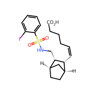 O=C(O)CCC/C=C\[C@@H]1[C@H]2CC[C@H](C2)[C@@H]1CNS(=O)(=O)c1ccccc1I